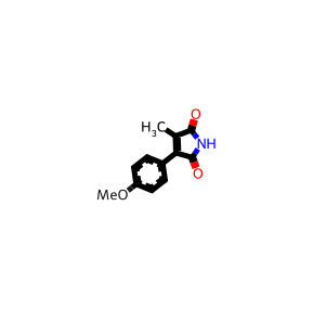 COc1ccc(C2=C(C)C(=O)NC2=O)cc1